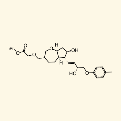 Cc1ccc(OC[C@H](O)/C=C/[C@@H]2[C@H]3CC[C@H](COCC(=O)OC(C)C)CO[C@H]3C[C@H]2O)cc1